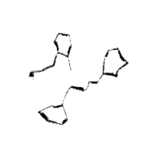 C(/C=C/c1ccccc1)=C\c1ccccc1.C=CCc1ccccc1O